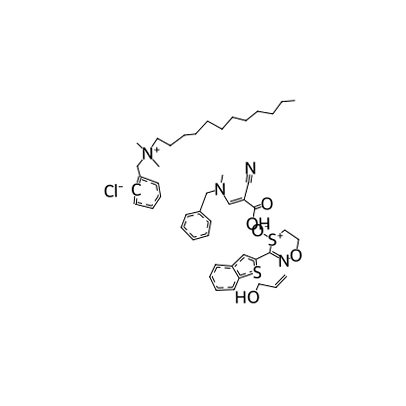 C=CCO.CCCCCCCCCCCC[N+](C)(C)Cc1ccccc1.CN(/C=C(\C#N)C(=O)O)Cc1ccccc1.[Cl-].[O-][S+]1CCON=C1c1cc2ccccc2s1